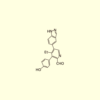 CCc1c(-c2ccc3[nH]ncc3c2)cnc(C=O)c1-c1ccc(O)cc1